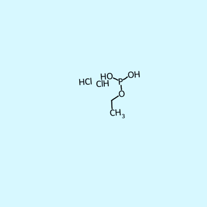 CCOP(O)O.Cl.Cl